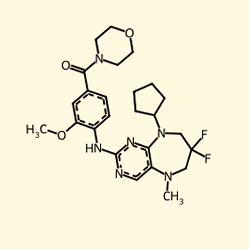 COc1cc(C(=O)N2CCOCC2)ccc1Nc1ncc2c(n1)N(C1CCCC1)CC(F)(F)CN2C